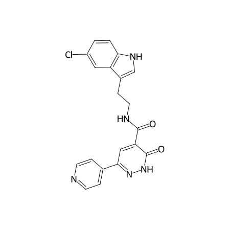 O=C(NCCc1c[nH]c2ccc(Cl)cc12)c1cc(-c2ccncc2)n[nH]c1=O